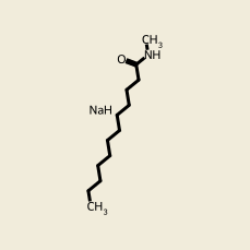 CCCCCCCCCCCC(=O)NC.[NaH]